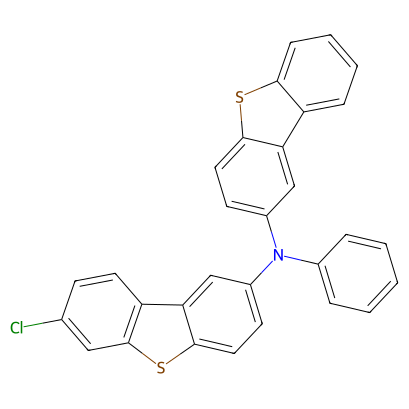 Clc1ccc2c(c1)sc1ccc(N(c3ccccc3)c3ccc4sc5ccccc5c4c3)cc12